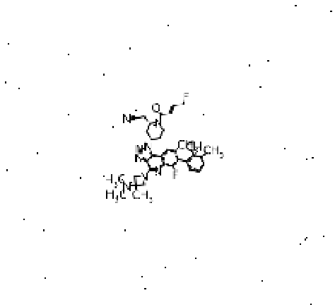 Cc1cccc(-c2c(C)cc3c(nc(N4CC(C)(N(C)C)C4)c4nnn([C@H]5CCN(C(=O)/C=C/CF)[C@H](CC#N)C5)c43)c2F)c1C